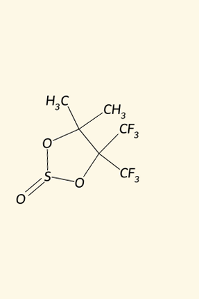 CC1(C)OS(=O)OC1(C(F)(F)F)C(F)(F)F